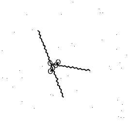 CCCCCCCCC=CCCCCCCCCOC(COC(=O)CCCCCCCCCCCCCCC)COC(=O)CCCCCCCCCCCCCCCCC